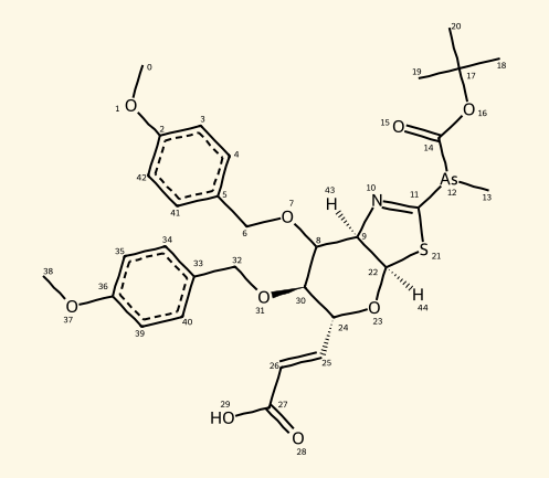 COc1ccc(COC2[C@H]3N=C([As](C)C(=O)OC(C)(C)C)S[C@H]3O[C@H](C=CC(=O)O)[C@H]2OCc2ccc(OC)cc2)cc1